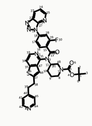 CC(C)(C)OC(=O)N1CCC[C@@H](N(C(=O)c2ccc(-n3nnc4cccnc43)cc2F)c2nccc3sc(CCc4ccncc4)cc23)C1